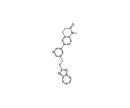 CN1C(=O)CCc2cc(-c3cncc(CSc4nc5ccccc5o4)c3)ccc21